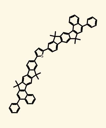 CC1(C)c2cc(-c3ccc(-c4ccc5c(c4)C(C)(C)c4cc6c(cc4-5)C(C)(C)c4cc(-c5ccccc5)c5ccccc5c4-6)s3)ccc2-c2cc3c(cc21)-c1c(cc(-c2ccccc2)c2ccccc12)C3(C)C